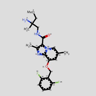 COCC(C)(N)CNC(=O)c1c(C)nc2c(OCc3c(F)cccc3F)cc(C)cn12